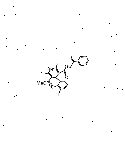 COC(=O)C1=C(C)NC(C)=C(C(=O)OCC(=O)c2ccccc2)C1c1cccc(Cl)c1Cl